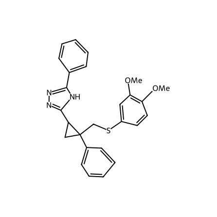 COc1ccc(SCC2(c3ccccc3)CC2c2nnc(-c3ccccc3)[nH]2)cc1OC